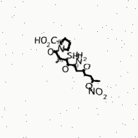 CC(CCC(=O)C[C@H](N)C(=O)C(S)[C@@H](C)C(=O)N1CCC[C@H]1C(=O)O)O[N+](=O)[O-]